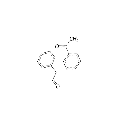 CC(=O)c1ccccc1.O=CCc1ccccc1